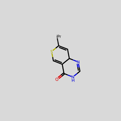 CC(C)C1=CC2N=CNC(=O)C2=CS1